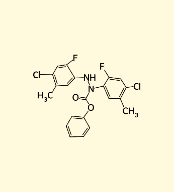 Cc1cc(NN(C(=O)Oc2ccccc2)c2cc(C)c(Cl)cc2F)c(F)cc1Cl